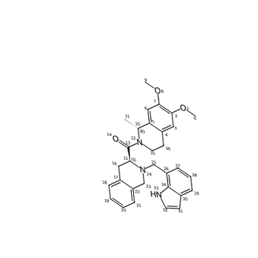 COc1cc2c(cc1OC)[C@@H](C)N(C(=O)[C@@H]1Cc3ccccc3CN1Cc1cccc3cc[nH]c13)CC2